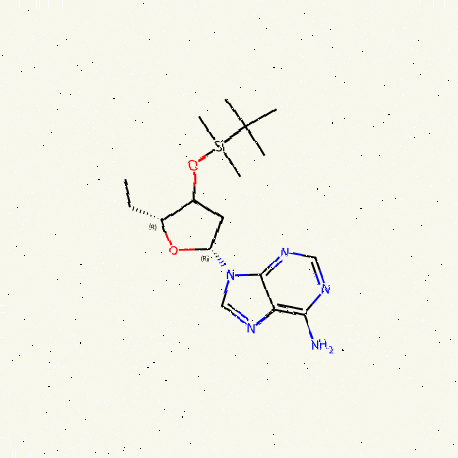 CC[C@H]1O[C@@H](n2cnc3c(N)ncnc32)CC1O[Si](C)(C)C(C)(C)C